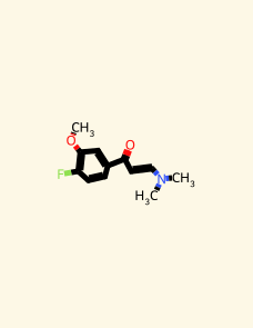 COc1cc(C(=O)/C=C/N(C)C)ccc1F